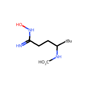 CC(C)(C)C(CCC(=N)NO)NC(=O)O